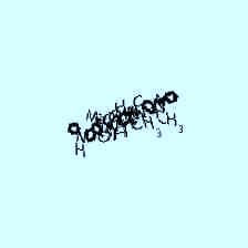 COc1cc(N=Nc2cc(C)c(N=Nc3ccccc3)cc2C)c(C)cc1N=Nc1c(S(=O)(=O)O)cc2cc(Nc3ccccc3)ccc2c1O